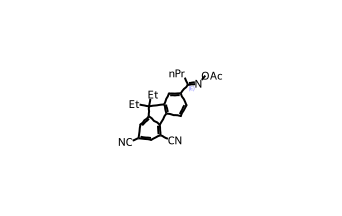 CCC/C(=N\OC(C)=O)c1ccc2c(c1)C(CC)(CC)c1cc(C#N)cc(C#N)c1-2